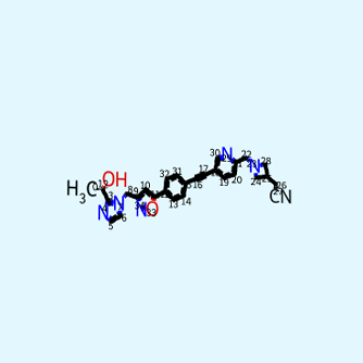 C[C@H](O)c1nccn1Cc1cc(-c2ccc(C#Cc3ccc(CN4CC(CC#N)C4)nc3)cc2)on1